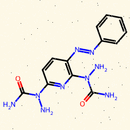 NC(=O)N(N)c1ccc(N=Nc2ccccc2)c(N(N)C(N)=O)n1